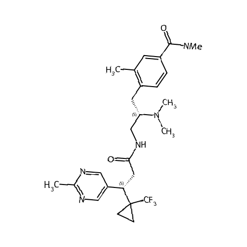 CNC(=O)c1ccc(C[C@@H](CNC(=O)C[C@@H](c2cnc(C)nc2)C2(C(F)(F)F)CC2)N(C)C)c(C)c1